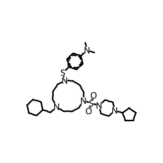 CN(C)c1ccc(SN2CCCN(CC3CCCCC3)CCCN(S(=O)(=O)N3CCN(C4CCCC4)CC3)CCC2)cc1